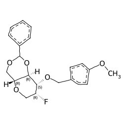 COc1ccc(CO[C@H]2[C@@H]3OC(c4ccccc4)OC[C@H]3OC[C@H]2F)cc1